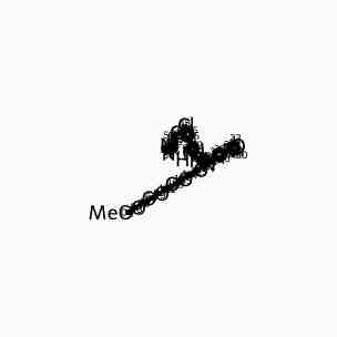 COCCOCCOCCOCCOCCOCCCOc1nn(C2CCC(N3C[C@@H](C)O[C@@H](C)C3)CC2)cc1Nc1ncc(-c2ccc(Cl)c(O[C@@H](C)Cn3cncn3)c2)cn1